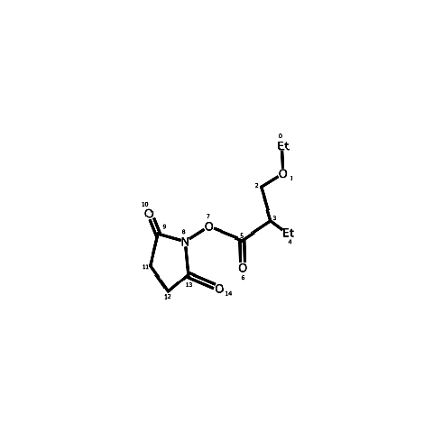 CCOCC(CC)C(=O)ON1C(=O)CCC1=O